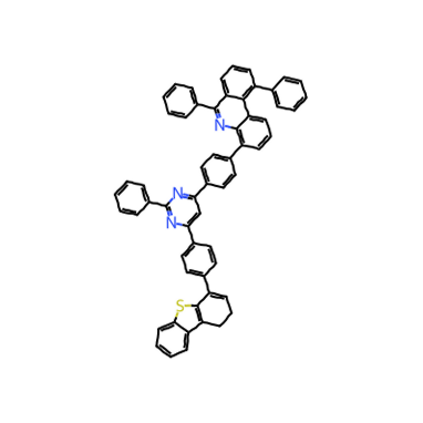 C1=C(c2ccc(-c3cc(-c4ccc(-c5cccc6c5nc(-c5ccccc5)c5cccc(-c7ccccc7)c56)cc4)nc(-c4ccccc4)n3)cc2)c2sc3ccccc3c2CC1